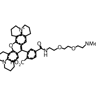 CNCCOCCOCCNC(=O)c1ccc(C(=O)O)c(C2=c3cc4c5c(c3Oc3c2cc2c6c3CCCN6CCC2)CCC[N+]=5CCC4)c1